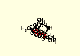 C=C(C)C=CC(=O)Oc1ccccc1-c1c(-c2ccccc2OC(=O)C=CC(=C)C)c2c(-c3ccccc3OC(=O)C=CC(=C)C)c3nc(cc4ccc(cc5nc(cc1n2-c1ccccc1OC(=O)C=CC(=C)C)C=C5)[nH]4)C=C3